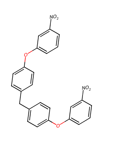 O=[N+]([O-])c1cccc(Oc2ccc(Cc3ccc(Oc4cccc([N+](=O)[O-])c4)cc3)cc2)c1